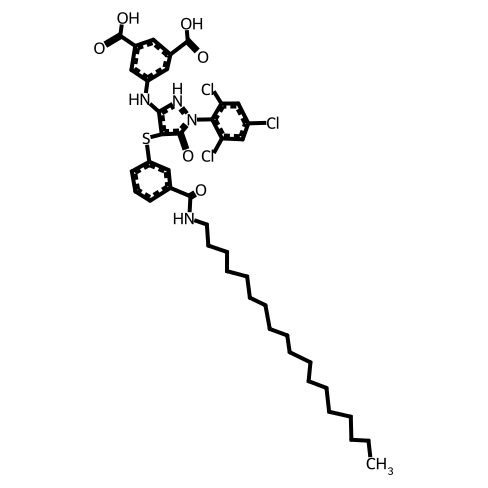 CCCCCCCCCCCCCCCCCCNC(=O)c1cccc(Sc2c(Nc3cc(C(=O)O)cc(C(=O)O)c3)[nH]n(-c3c(Cl)cc(Cl)cc3Cl)c2=O)c1